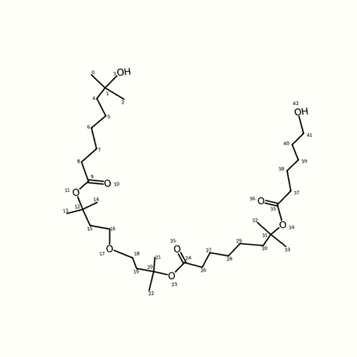 CC(C)(O)CCCCCC(=O)OC(C)(C)CCOCCC(C)(C)OC(=O)CCCCCC(C)(C)OC(=O)CCCCCO